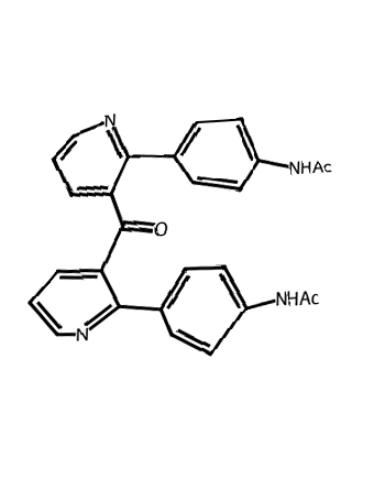 CC(=O)Nc1ccc(-c2ncccc2C(=O)c2cccnc2-c2ccc(NC(C)=O)cc2)cc1